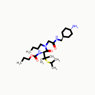 CCCCN(CC(=O)NC[C@H]1CC[C@H](N)CC1)C(=O)[C@H](NC(=O)OCCC)C(C)(C)SC(C)C